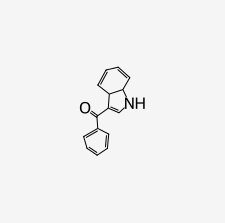 O=C(C1=CNC2C=CC=CC12)c1ccccc1